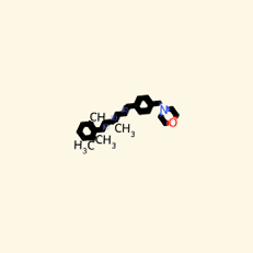 CC1=C(/C=C/C(C)=C/C=C/c2ccc(CN3CCOCC3)cc2)C(C)(C)CCC1